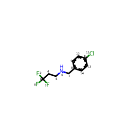 FC(F)(F)CCNCc1ccc(Cl)cc1